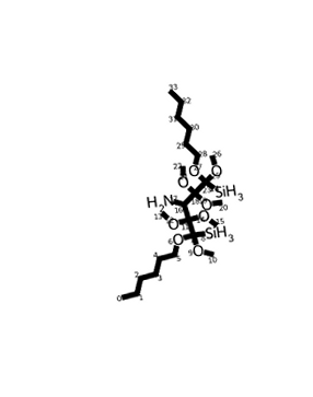 CCCCCCOC([SiH3])(OC)C(OC)(OC)C(N)C(OC)(OC)C([SiH3])(OC)OCCCCCC